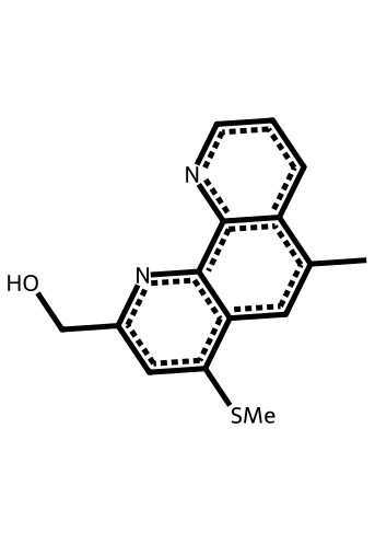 CSc1cc(CO)nc2c1cc(C)c1cccnc12